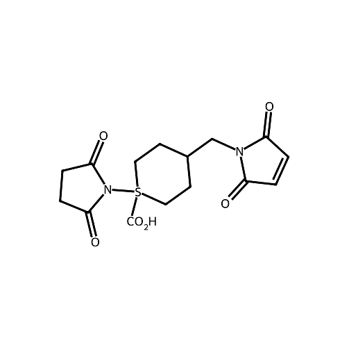 O=C1C=CC(=O)N1CC1CCS(C(=O)O)(N2C(=O)CCC2=O)CC1